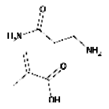 C=C(C)C(=O)O.NCCC(N)=O